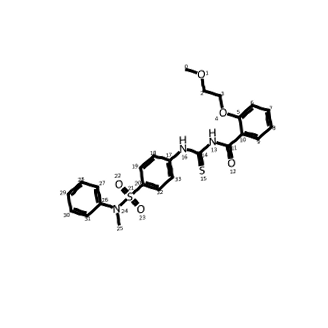 COCCOc1ccccc1C(=O)NC(=S)Nc1ccc(S(=O)(=O)N(C)c2ccccc2)cc1